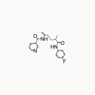 C=C(CCC(C)C(=O)Nc1ccc(F)cc1)NC(=O)c1cccnc1